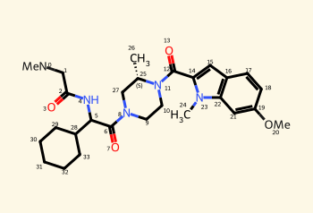 CNCC(=O)NC(C(=O)N1CCN(C(=O)c2cc3ccc(OC)cc3n2C)[C@@H](C)C1)C1CCCCC1